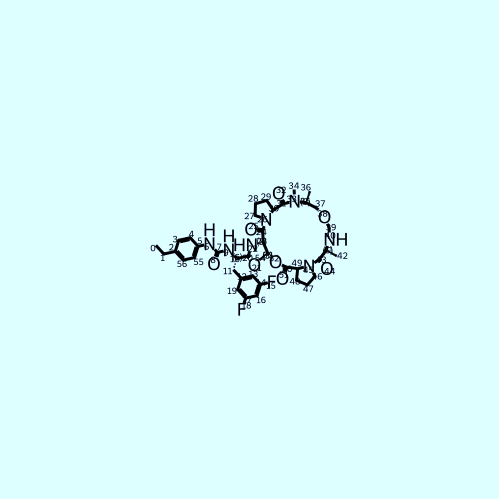 CCc1ccc(NC(=O)N[C@@H](Cc2cc(F)cc(F)c2)C(=O)N[C@@H]2C(=O)N3CCCC3C(=O)N(C)[C@@H](C)COCN[C@@H](C)C(=O)N3CCCC3C(=O)O[C@H]2C)cc1